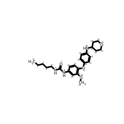 CCCCCNC(=O)Nc1ccc(Oc2ccc(NC3CCOCC3)cc2)c(OC)c1